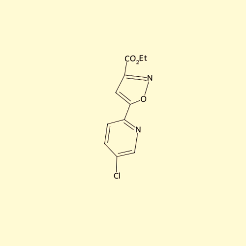 CCOC(=O)c1cc(-c2ccc(Cl)cn2)on1